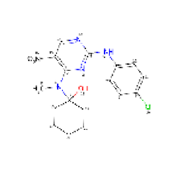 CN(c1nc(Nc2ccc(Cl)cc2)ncc1[N+](=O)[O-])C1(O)CCCCC1